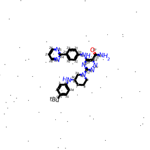 CC(C)(C)c1ccc(N[C@@H]2CCCN(c3nnc(C(N)=O)c(Nc4ccc(-c5ncccn5)cc4)n3)C2)cc1